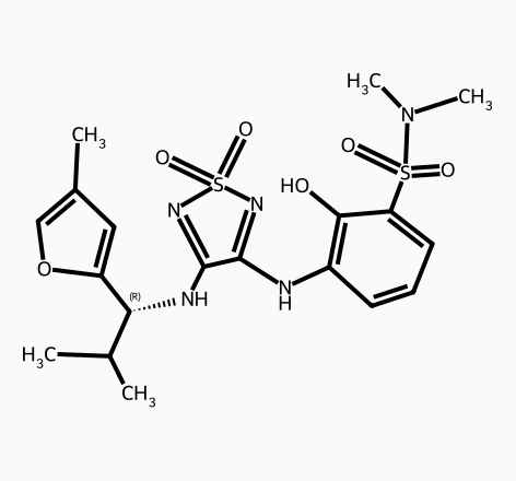 Cc1coc([C@H](NC2=NS(=O)(=O)N=C2Nc2cccc(S(=O)(=O)N(C)C)c2O)C(C)C)c1